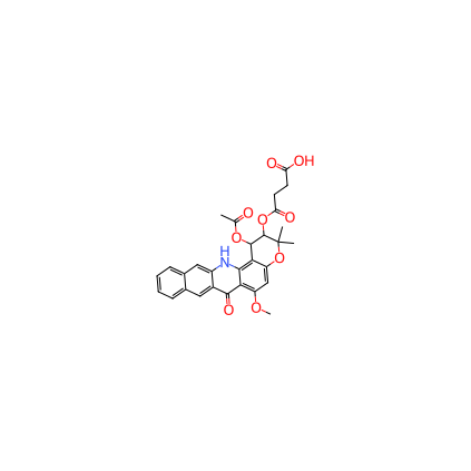 COc1cc2c(c3[nH]c4cc5ccccc5cc4c(=O)c13)C(OC(C)=O)C(OC(=O)CCC(=O)O)C(C)(C)O2